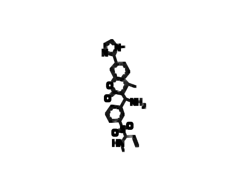 C=CC(NC)S(=O)(=O)c1cccc(C(N)c2c(C)c3ccc(-c4nccn4C)cc3oc2=O)c1